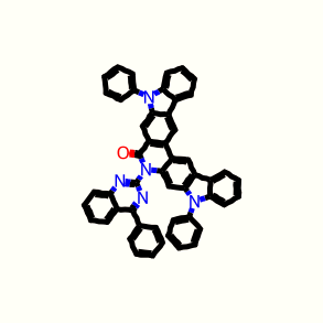 O=c1c2cc3c(cc2c2cc4c5ccccc5n(-c5ccccc5)c4cc2n1-c1nc(-c2ccccc2)c2ccccc2n1)c1ccccc1n3-c1ccccc1